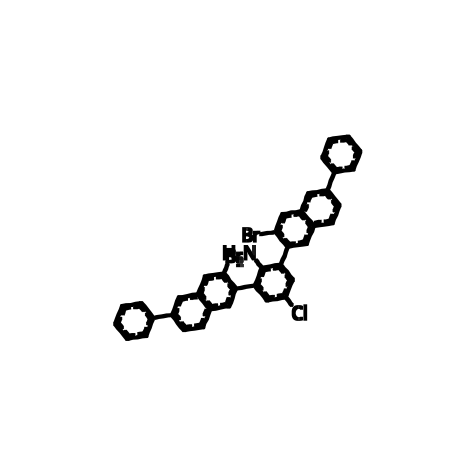 Nc1c(-c2cc3ccc(-c4ccccc4)cc3cc2Br)cc(Cl)cc1-c1cc2ccc(-c3ccccc3)cc2cc1Br